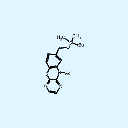 CC(=O)N1c2cc(CO[Si](C)(C)C(C)(C)C)ccc2Sc2nccnc21